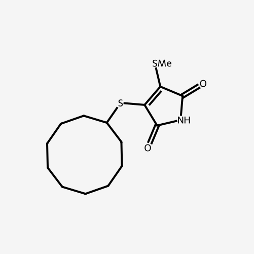 CSC1=C(SC2CCCCCCCCC2)C(=O)NC1=O